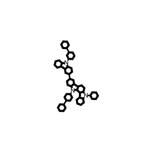 c1ccc(-c2ccc(-n3c4ccc(-c5ccc6c(c5)c5ccccc5n6-c5cccc(-c6ccccc6)c5)cc4c4ccc5c(c6ccccc6n5-c5ccccc5)c43)cc2)cc1